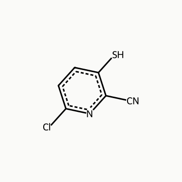 N#Cc1nc(Cl)ccc1S